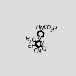 CCc1c(C)c(N2CCC(NC(=O)O)CC2)nc(Cl)c1C#N